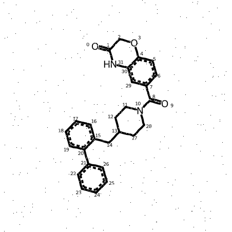 O=C1COc2ccc(C(=O)N3CCC(Cc4ccccc4-c4ccccc4)CC3)cc2N1